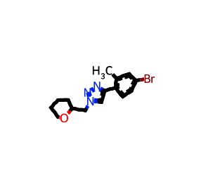 Cc1cc(Br)ccc1-c1cn(CC2CCCCO2)nn1